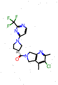 Cc1nc2c(c(C)c1Cl)CN(C(=O)[C@@H]1CCN(c3ccnc(C(F)(F)F)n3)C1)C2